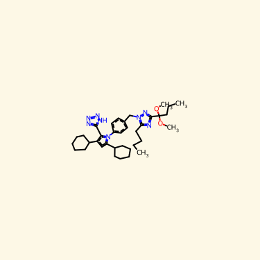 CCCCc1nc(C(CCC)(OC)OC)nn1Cc1ccc(-n2c(C3CCCCC3)cc(C3CCCCC3)c2-c2nnn[nH]2)cc1